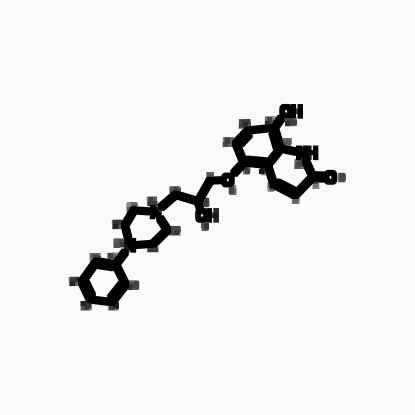 O=c1ccc2c(OCC(O)CN3CCN(c4ccccc4)CC3)ccc(O)c2[nH]1